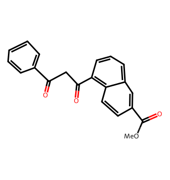 COC(=O)c1ccc2c(C(=O)CC(=O)c3ccccc3)cccc2c1